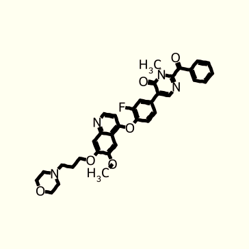 COc1cc2c(Oc3ccc(-c4cnc(C(=O)c5ccccc5)n(C)c4=O)cc3F)ccnc2cc1OCCCN1CCOCC1